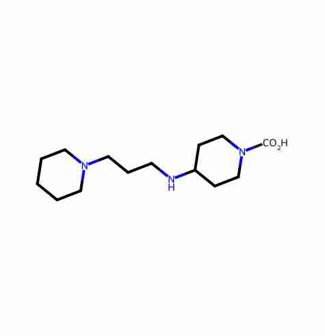 O=C(O)N1CCC(NCCCN2CCCCC2)CC1